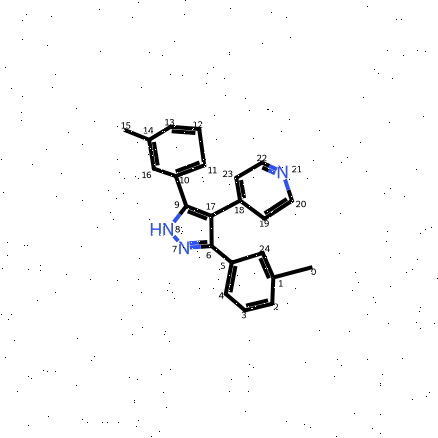 Cc1cccc(-c2n[nH]c(-c3cccc(C)c3)c2-c2ccncc2)c1